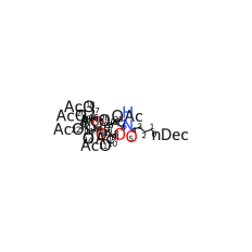 CCCCCCCCCCCCCC(=O)NC1O[C@H](COC(C)=O)[C@@H](O[C@@H]2O[C@H](COC(C)=O)[C@@H](OC(C)=O)[C@H](OC(C)=O)[C@@H]2OC(C)=O)[C@H](OC(C)=O)[C@@H]1OC(C)=O